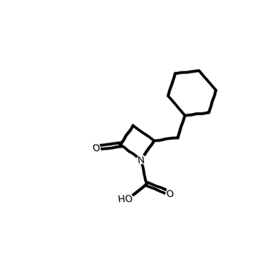 O=C(O)N1C(=O)CC1CC1CCCCC1